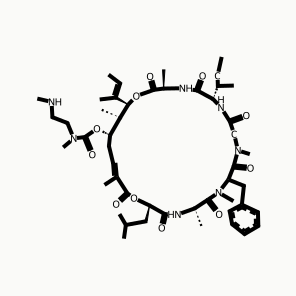 C/C=C(\C)[C@H]1OC(=O)[C@@H](C)NC(=O)[C@H](C(C)CC)NC(=O)CN(C)C(=O)C(Cc2ccccc2)N(C)C(=O)[C@H](C)NC(=O)[C@@H](CC(C)C)OC(=O)/C(C)=C/C[C@H](OC(=O)N(C)CCNC)[C@@H]1C